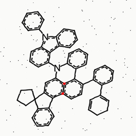 C1=CC(c2ccccc2-c2ccccc2-c2ccccc2N(c2ccc3c(c2)C2(CCCC2)c2ccccc2-3)c2cccc3c2c2ccccc2n3-c2ccccc2)=CCC1